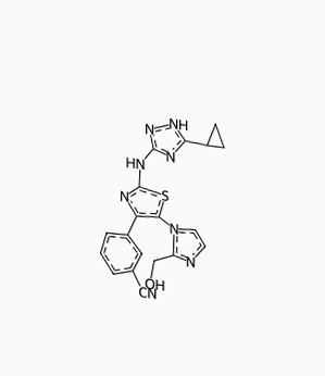 N#Cc1cccc(-c2nc(Nc3n[nH]c(C4CC4)n3)sc2-n2ccnc2CO)c1